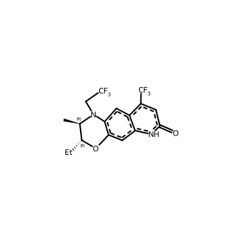 CC[C@H]1Oc2cc3[nH]c(=O)cc(C(F)(F)F)c3cc2N(CC(F)(F)F)[C@@H]1C